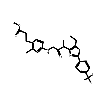 CCc1sc(-c2ccc(C(F)(F)F)cc2)nc1C(C)C(=O)CNc1ccc(CCC(=O)OC)c(C)c1